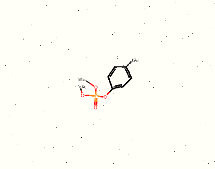 CCCCOP(=O)(OCCCC)Oc1ccc(C(C)(C)C)cc1